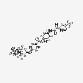 CC(C)(C)c1cc(NC(=O)Nc2ccc(NC(=O)c3cnc(OC4CC(C)(C)[N+](C)(OS(C)(=O)=O)C(C)(C)C4)cn3)cc2)no1